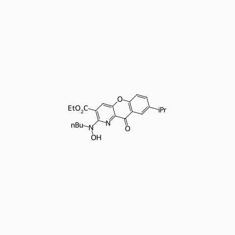 CCCCN(O)c1nc2c(=O)c3cc(C(C)C)ccc3oc2cc1C(=O)OCC